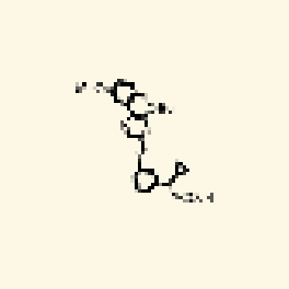 COc1ccc(F)c(-c2ncc(COc3cccc([C@@H](CC(=O)O)C4CC4)c3)nc2OCC(C)C)c1